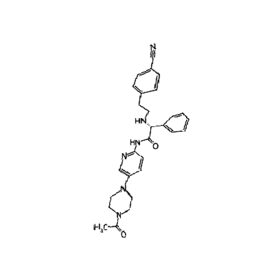 CC(=O)N1CCN(c2ccc(NC(=O)[C@H](NCCc3ccc(C#N)cc3)c3ccccc3)nc2)CC1